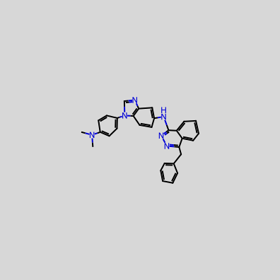 CN(C)c1ccc(-n2cnc3cc(Nc4nnc(Cc5ccccc5)c5ccccc45)ccc32)cc1